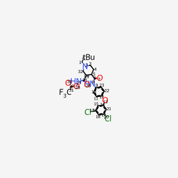 CC(C)(C)CN1CCC(C(=O)Nc2ccc(Oc3cc(Cl)cc(Cl)c3)cc2)[C@@H](C(=O)NOC(=O)C(F)(F)F)C1